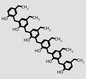 CCc1ccc(O)c(Cc2cc(CC)cc(Cc3cc(CC)cc(Cc4cc(CC)cc(Cc5cc(CC)cc(Cc6cc(CC)ccc6O)c5O)c4O)c3O)c2O)c1